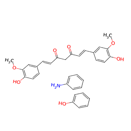 COc1cc(/C=C/C(=O)CC(=O)/C=C/c2ccc(O)c(OC)c2)ccc1O.Nc1ccccc1.Oc1ccccc1